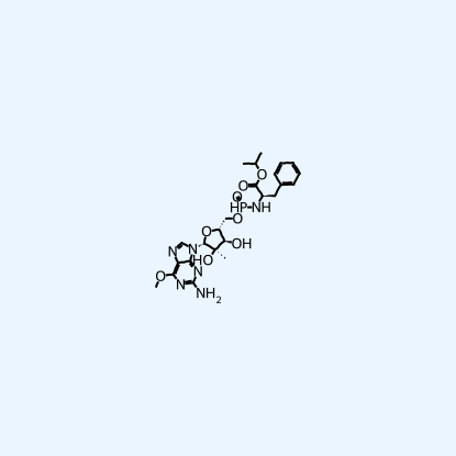 COc1nc(N)nc2c1ncn2[C@@H]1O[C@H](CO[PH](=O)N[C@H](Cc2ccccc2)C(=O)OC(C)C)[C@@H](O)[C@@]1(C)O